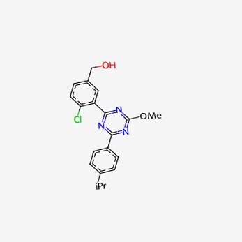 COc1nc(-c2ccc(C(C)C)cc2)nc(-c2cc(CO)ccc2Cl)n1